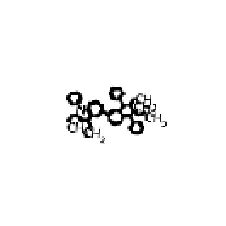 C=CCC1(C)C(c2ccccc2)=C2C=C=CC(C3=CC4=C(C=C=C3)N(c3ccccc3)C(/C=C\C)=C=C4C=C)=CC2=C(c2ccccc2)/C1=C/C